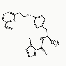 CNc1cccc(CCOc2ccc(C[C@H](NC(=O)c3cccn3C)C(=O)O)cc2)n1